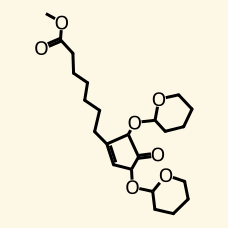 COC(=O)CCCCCCC1=CC(OC2CCCCO2)C(=O)C1OC1CCCCO1